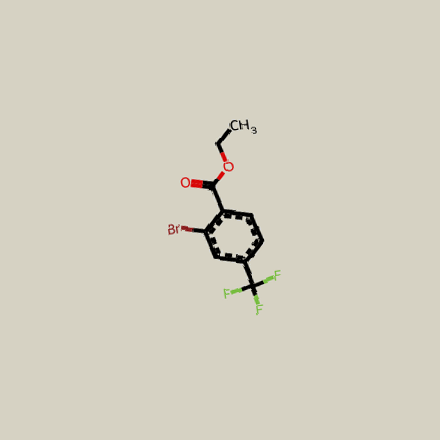 CCOC(=O)c1ccc(C(F)(F)F)cc1Br